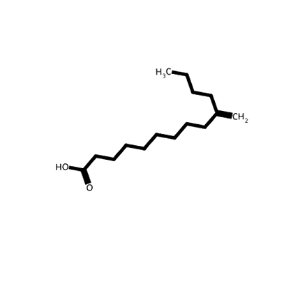 C=C(CCCC)CCCCCCCCC(=O)O